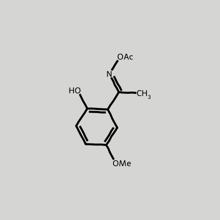 COc1ccc(O)c(C(C)=NOC(C)=O)c1